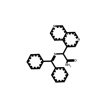 NC(=O)C(N=C(c1ccccc1)c1ccccc1)c1cncc2cnccc12